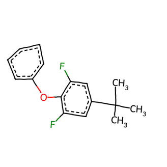 CC(C)(C)c1cc(F)c(Oc2ccccc2)c(F)c1